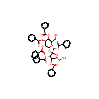 O=C(OC[C@@]1(O[C@H]2O[C@H](CO)[C@@H](OC(=O)c3ccccc3)[C@H](OC(=O)c3ccccc3)[C@H]2OC(=O)c2ccccc2)O[C@H](CO)[C@@H](OC(=O)c2ccccc2)[C@@H]1OC(=O)c1ccccc1)c1ccccc1